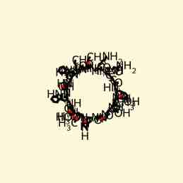 CCCC[C@H]1C(=O)N(C)[C@@H](CCCC)C(=O)N[C@@H](CCCCN)C(=O)N[C@H](C(=O)NCC(N)=O)CSCC(=O)N[C@@H](Cc2ccc(O)cc2)C(=O)N(C)[C@@H](C)C(=O)N[C@@H](CC(=O)O)C(=O)N2CCC[C@H]2C(=O)N[C@@H](Cc2c[nH]cn2)C(=O)N[C@@H](CC(C)C)C(=O)N2C[C@H](O)C[C@H]2C(=O)N[C@@H](Cc2c[nH]c3ccccc23)C(=O)N[C@@H](CO)C(=O)N[C@@H](Cc2c[nH]c3ccccc23)C(=O)N1C